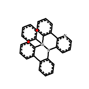 c1ccc([Si]23c4ccccc4-c4ccccc4N2c2cccnc2-c2ccccc23)cc1